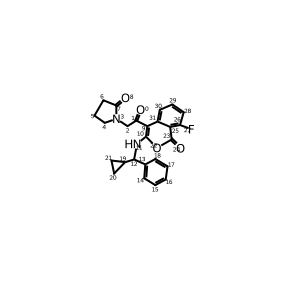 O=C(CN1CCCC1=O)c1c(NC(c2ccccc2)C2CC2)oc(=O)c2c(F)cccc12